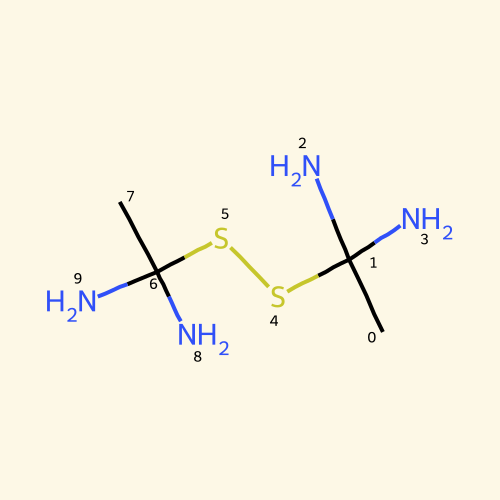 CC(N)(N)SSC(C)(N)N